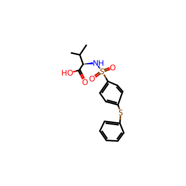 CC(C)[C@@H](NS(=O)(=O)c1ccc(Sc2ccccc2)cc1)C(=O)O